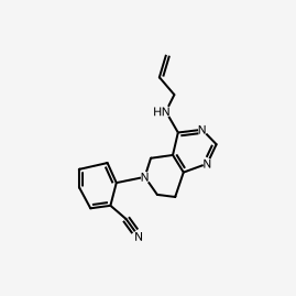 C=CCNc1ncnc2c1CN(c1ccccc1C#N)CC2